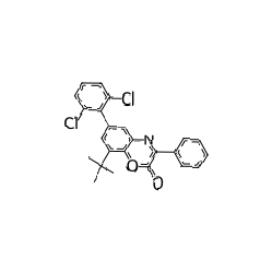 CC(C)(C)c1cc(-c2c(Cl)cccc2Cl)cc2nc(-c3ccccc3)c(=O)oc12